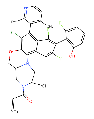 C=CC(=O)N1CC2COc3c(Cl)c(-c4c(C)ccnc4C(C)C)c4c(F)c(-c5c(O)cccc5F)c(F)cc4c3N2CC1C